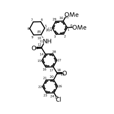 COc1ccc([C@H]2CCCC[C@H]2NC(=O)c2ccc(C(=O)c3cccc(Cl)c3)cc2)cc1OC